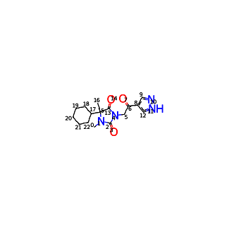 CN1C(=O)N(CC(=O)c2cn[nH]c2)C(=O)C1(C)C1CCCCC1